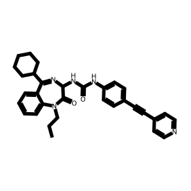 CCCN1C(=O)C(NC(=O)Nc2ccc(C#Cc3ccncc3)cc2)N=C(C2CCCCC2)c2ccccc21